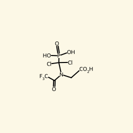 O=C(O)CN(C(=O)C(F)(F)F)C(Cl)(Cl)P(=O)(O)O